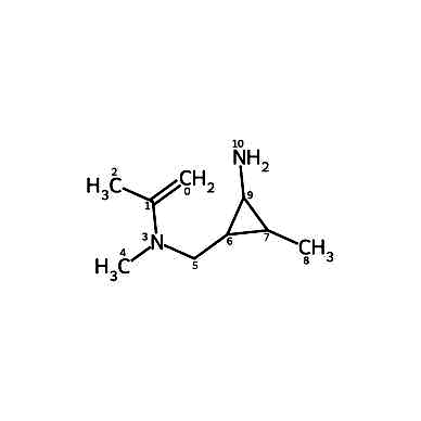 C=C(C)N(C)CC1C(C)C1N